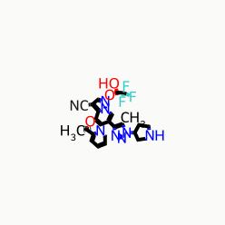 Cc1c(-c2cc(O[C@H](C)c3ccccn3)c3c(C#N)cnn3c2)nnn1C1CCNCC1.O=C(O)C(F)(F)F